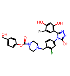 CC(C)c1cc(-c2nnc(O)n2-c2ccc(CN3CCN(C(=O)Oc4ccc(CO)cc4)CC3)c(F)c2)c(O)cc1O